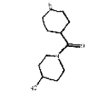 O=C(C1CCNCC1)N1CCC(O)CC1